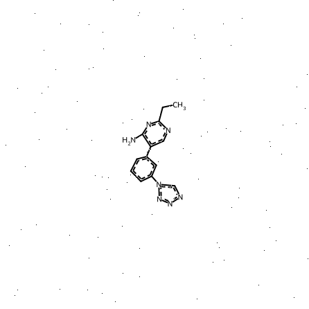 CCc1ncc(-c2cccc(-n3cnnn3)c2)c(N)n1